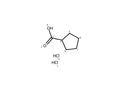 Cl.Cl.O=C(O)C1CCCC1